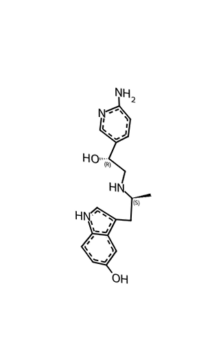 C[C@@H](Cc1c[nH]c2ccc(O)cc12)NC[C@H](O)c1ccc(N)nc1